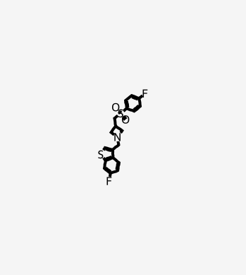 O=S(=O)(CC1CN(Cc2csc3cc(F)ccc23)C1)c1ccc(F)cc1